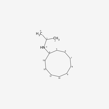 CC(C)NC1CCCCCCCCC1